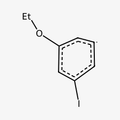 CCOc1c[c]cc(I)c1